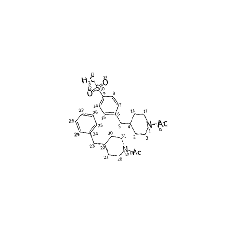 CC(=O)N1CCC(Cc2ccc(S(C)(=O)=O)cc2)CC1.CC(=O)N1CCC(Cc2ccccc2)CC1